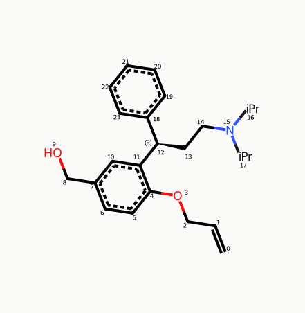 C=CCOc1ccc(CO)cc1[C@H](CCN(C(C)C)C(C)C)c1ccccc1